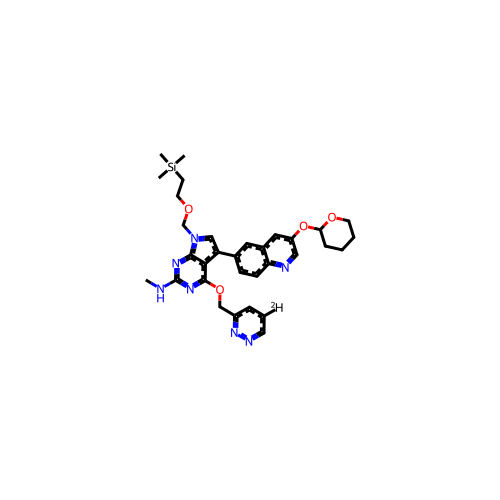 [2H]c1cnnc(COc2nc(NC)nc3c2c(-c2ccc4ncc(OC5CCCCO5)cc4c2)cn3COCC[Si](C)(C)C)c1